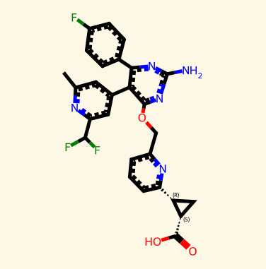 Cc1cc(-c2c(OCc3cccc([C@@H]4C[C@@H]4C(=O)O)n3)nc(N)nc2-c2ccc(F)cc2)cc(C(F)F)n1